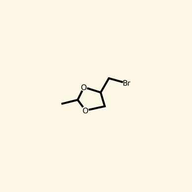 CC1OCC(CBr)O1